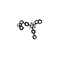 C1=CC(c2ccc(-c3nc(C4=CC5=C(C=CCC5)CC4)nc(-c4ccc(C5=CCCc6oc7ccccc7c65)cc4)n3)cc2)=CCC1